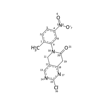 Cc1ccc([N+](=O)[O-])cc1N1Cc2cnc(Cl)nc2CC1=O